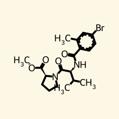 COC(=O)[C@@H]1CCCN1C(=O)[C@@H](NC(=O)c1ccc(Br)cc1C)C(C)C